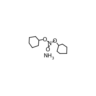 N.O=[N+](OC1CCCCC1)OC1CCCCC1